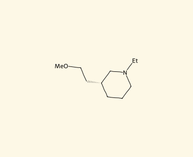 [CH2]CN1CCC[C@H](CCOC)C1